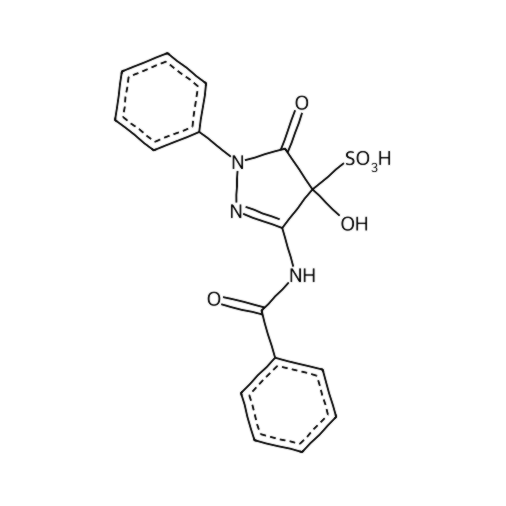 O=C(NC1=NN(c2ccccc2)C(=O)C1(O)S(=O)(=O)O)c1ccccc1